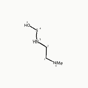 CNCCNSO